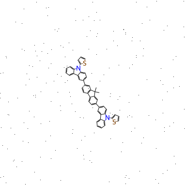 CC1(C)c2cc(-c3ccc4c(c3)c3ccccc3n4-c3cccs3)ccc2-c2ccc(-c3ccc4c(c3)c3ccccc3n4-c3cccs3)cc21